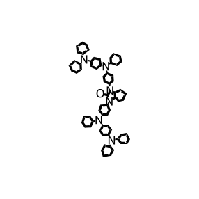 O=c1n(-c2ccc(N(c3ccccc3)c3ccc(N(c4ccccc4)c4ccccc4)cc3)cc2)c2ccccc2n1-c1ccc(N(c2ccccc2)c2ccc(N(c3ccccc3)c3ccccc3)cc2)cc1